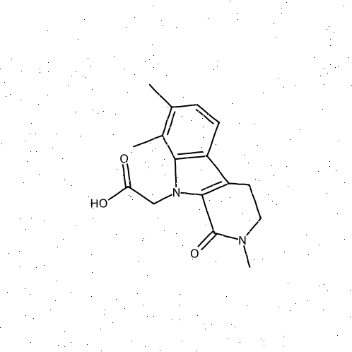 Cc1ccc2c3c(n(CC(=O)O)c2c1C)C(=O)N(C)CC3